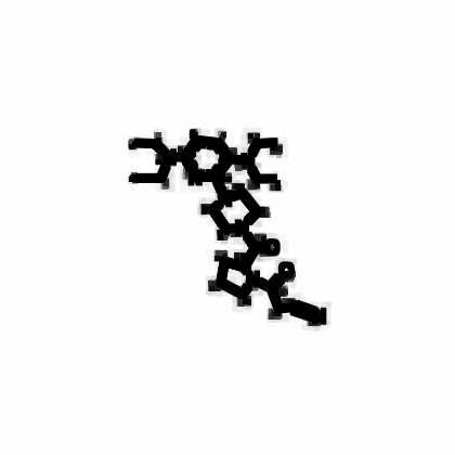 CCN(CC)c1ccc(N(CC)CC)c(N2CCN(C(=O)C3CCCN3C(=O)CC#N)CC2)n1